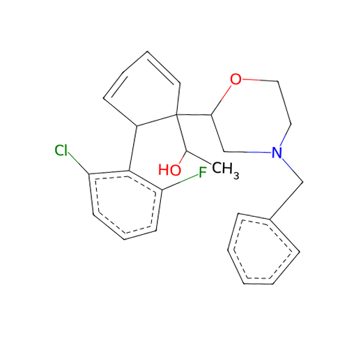 CC(O)C1(C2CN(Cc3ccccc3)CCO2)C=CC=CC1c1c(F)cccc1Cl